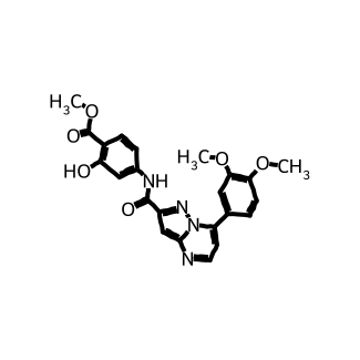 COC(=O)c1ccc(NC(=O)c2cc3nccc(-c4ccc(OC)c(OC)c4)n3n2)cc1O